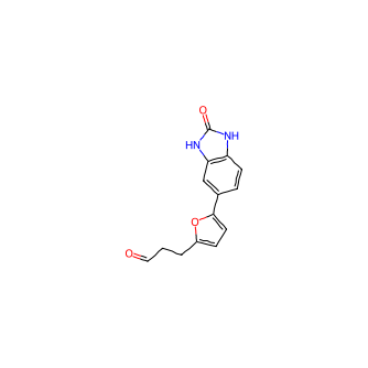 O=CCCc1ccc(-c2ccc3[nH]c(=O)[nH]c3c2)o1